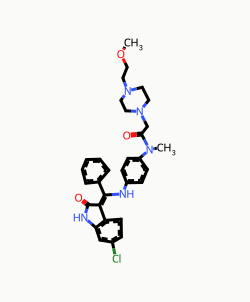 COCCN1CCN(CC(=O)N(C)c2ccc(NC(=C3C(=O)Nc4cc(Cl)ccc43)c3ccccc3)cc2)CC1